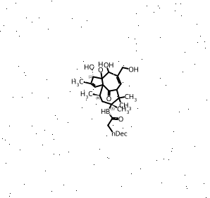 CCCCCCCCCCCC(=O)B[C@]1(C)C[C@@H](C)C23C=C(C)[C@H](O)C2(O)C(O)C(CO)=CC(C3=O)C1(C)C